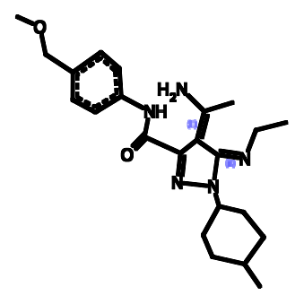 CC/N=C1\C(=C(/C)N)C(C(=O)Nc2ccc(COC)cc2)=NN1C1CCC(C)CC1